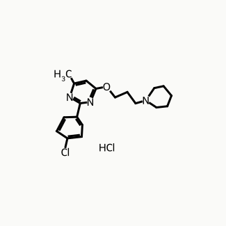 Cc1cc(OCCCN2CCCCC2)nc(-c2ccc(Cl)cc2)n1.Cl